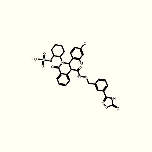 CS(=O)(=O)NC1CCCCC1N1C(=O)c2ccccc2C(C(=O)NOCc2cccc(-c3noc(=O)[nH]3)c2)C1c1ccc(Cl)cc1Cl